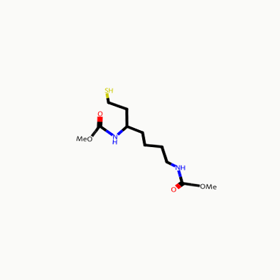 COC(=O)NCCCCC(CCS)NC(=O)OC